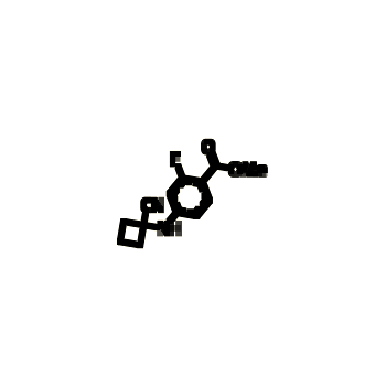 COC(=O)c1ccc(NC2(C#N)CCC2)cc1F